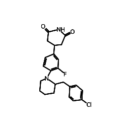 O=C1CC(c2ccc(N3CCCCC3Cc3ccc(Cl)cc3)c(F)c2)CC(=O)N1